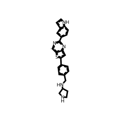 [c]1nc(-c2ccc3[nH]ccc3c2)nc2cc(-c3ccc(CNC4CCNC4)cc3)sc12